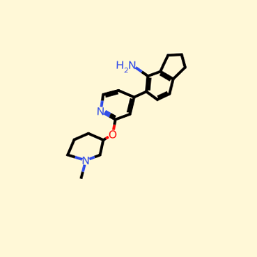 CN1CCCC(Oc2cc(-c3ccc4c(c3N)CCC4)ccn2)C1